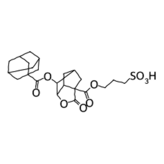 O=C(OC1C2CC3C1OC(=O)C3(C(=O)OCCCS(=O)(=O)O)C2)C12CC3CC(CC(C3)C1)C2